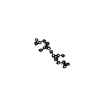 c1ccc(-c2ccc3c4cc(-c5ccc(-c6ccc7c(c6)c6cc(-c8ccccc8)ccc6n7-c6cccc(-c7cccc(-c8ccc9c%10ccccc%10c%10ccccc%10c9c8)c7)n6)cc5)ccc4c4ccc(-c5cccc(-c6cccc(-n7c8ccccc8c8ccccc87)n6)c5)cc4c3c2)cc1